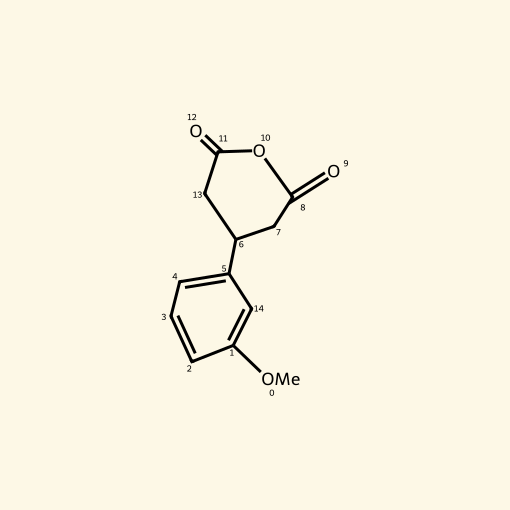 COc1cccc(C2CC(=O)OC(=O)C2)c1